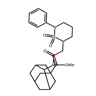 COC(=O)C12CC3CC(C1)C(NC(=O)CN1CCCN(c4ccccc4)S1(=O)=O)C(C3)C2